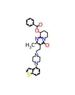 Cc1nc2n(c(=O)c1CCN1CCN(c3cccc4sccc34)CC1)CCCC2OC(=O)c1ccccc1